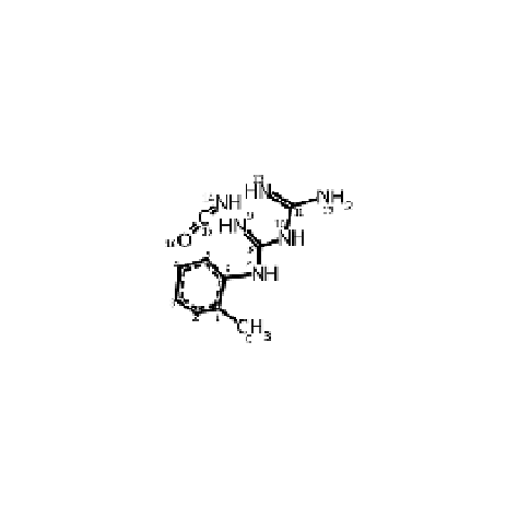 Cc1ccccc1NC(=N)NC(=N)N.N=C=O